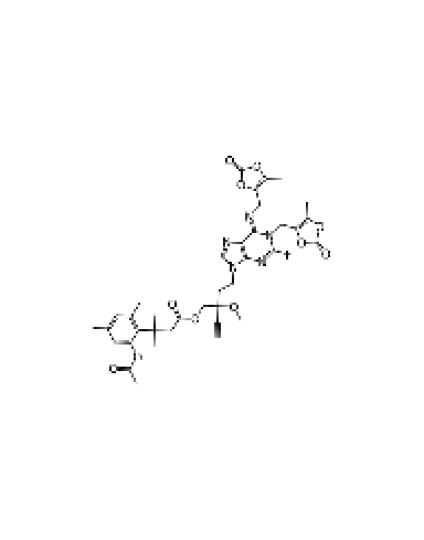 C#CC(CCn1cnc2/c(=N/Cc3oc(=O)oc3C)n(Cc3oc(=O)oc3C)c(F)nc21)(COC(=O)CC(C)(C)c1c(C)cc(C)cc1OC(C)=O)OC